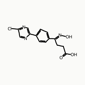 O=C(O)CCC(=NO)c1ccc(-c2cnc(Cl)cn2)cc1